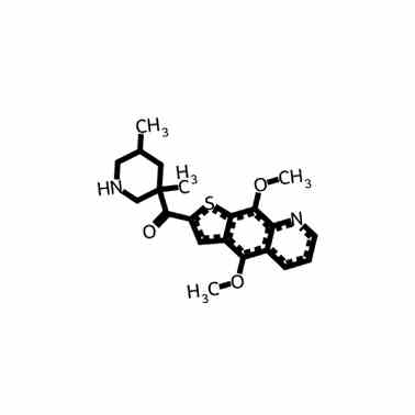 COc1c2cccnc2c(OC)c2sc(C(=O)C3(C)CNCC(C)C3)cc12